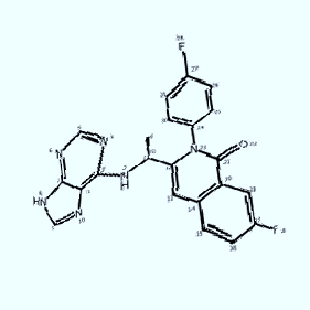 C[C@H](Nc1ncnc2[nH]cnc12)c1cc2ccc(F)cc2c(=O)n1-c1ccc(F)cc1